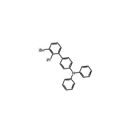 CCC(C)c1cccc(-c2ccc(N(c3ccccc3)c3ccccc3)cc2)c1C(C)C